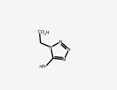 CCCc1nnnn1CC(=O)O